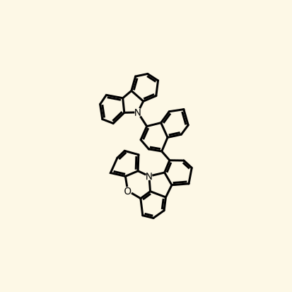 c1ccc2c(c1)Oc1cccc3c4cccc(-c5ccc(-n6c7ccccc7c7ccccc76)c6ccccc56)c4n-2c13